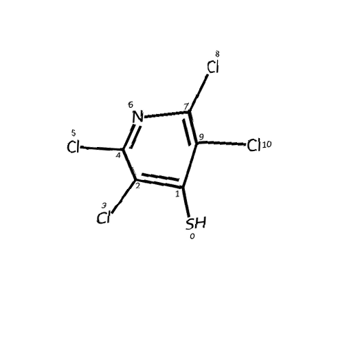 Sc1c(Cl)c(Cl)nc(Cl)c1Cl